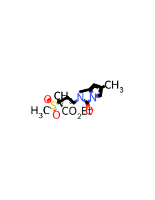 CCOC(=O)[C@@](C)(CCN1Cc2cc(C)cn2C1=O)S(C)(=O)=O